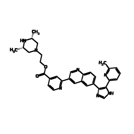 Cc1cccc(-c2[nH]cnc2-c2ccc3ncc(-c4cc(C(=O)OCCN5C[C@@H](C)N[C@@H](C)C5)ccn4)cc3c2)n1